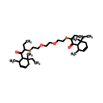 CCC(SCCOCCOCCSC(CC)C(=O)C1C(C)C=CCC1(C)CC)C(=O)C1C(C)C=CCC1(C)CC